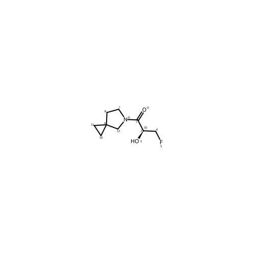 O=C([C@H](O)CF)N1CCC2(CC2)C1